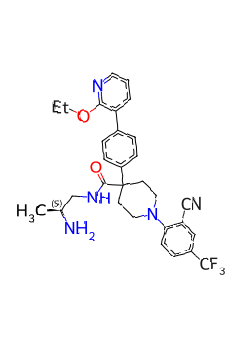 CCOc1ncccc1-c1ccc(C2(C(=O)NC[C@H](C)N)CCN(c3ccc(C(F)(F)F)cc3C#N)CC2)cc1